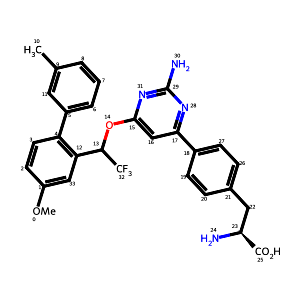 COc1ccc(-c2cccc(C)c2)c(C(Oc2cc(-c3ccc(C[C@H](N)C(=O)O)cc3)nc(N)n2)C(F)(F)F)c1